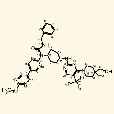 COc1ncc(-c2cnc(N(C(=O)NCc3ccccc3)[C@H]3CC[C@H](Nc4ncc(C(F)(F)F)c(N5CCC(F)(CO)CC5)n4)CC3)nc2)cn1